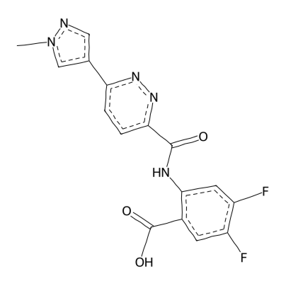 Cn1cc(-c2ccc(C(=O)Nc3cc(F)c(F)cc3C(=O)O)nn2)cn1